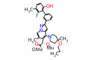 C=CCOC1(C)CCN(c2c([C@H](OC(C)(C)C)C(=O)OC)c(C)cn3nc(-c4cccc(-c5c(O)ccc(C)c5F)c4)cc23)CC1